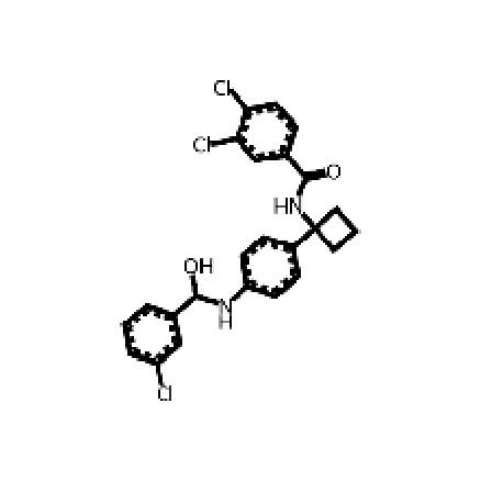 O=C(NC1(c2ccc(NC(O)c3cccc(Cl)c3)cc2)CCC1)c1ccc(Cl)c(Cl)c1